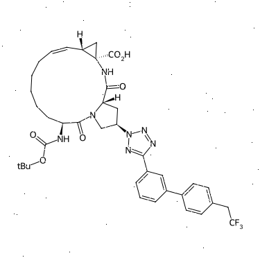 CC(C)(C)OC(=O)N[C@H]1CCCCC/C=C\[C@@H]2C[C@@]2(C(=O)O)NC(=O)[C@@H]2C[C@@H](n3nnc(-c4cccc(-c5ccc(CC(F)(F)F)cc5)c4)n3)CN2C1=O